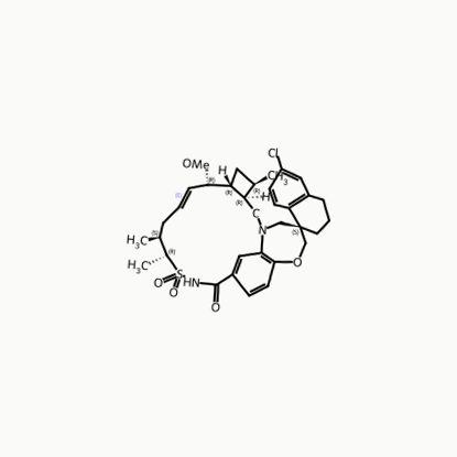 CO[C@H]1/C=C/C[C@H](C)[C@@H](C)S(=O)(=O)NC(=O)c2ccc3c(c2)N(C[C@H]2[C@H]1C[C@H]2C)C[C@@]1(CCCc2cc(Cl)ccc21)CO3